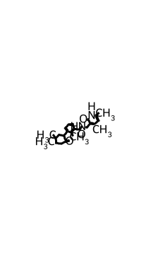 Cc1cc(C)c(CNC(=O)c2cccc(C3CC(C)(C)CCC3=O)c2C)c(=O)[nH]1